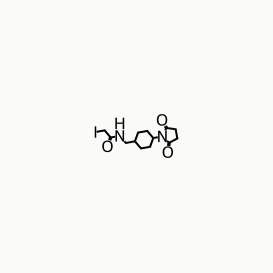 O=C(CI)NCC1CCC(N2C(=O)CCC2=O)CC1